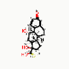 C[C@H]1C[C@H]2[C@@H]3CCC4=CC(=O)C=C[C@]4(C)[C@H]3[C@@H](O)C[C@]2(C)[C@@]1(O)C(O)=S